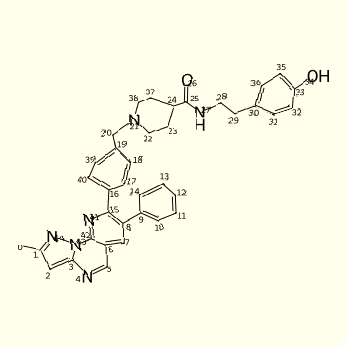 Cc1cc2ncc3cc(-c4ccccc4)c(-c4ccc(CN5CCC(C(=O)NCCc6ccc(O)cc6)CC5)cc4)nc3n2n1